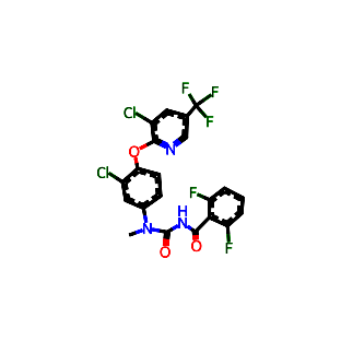 CN(C(=O)NC(=O)c1c(F)cccc1F)c1ccc(Oc2ncc(C(F)(F)F)cc2Cl)c(Cl)c1